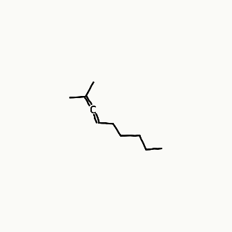 CCCCCC=C=C(C)C